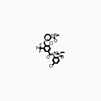 CCS(=O)(=O)c1ccc(Cl)cc1N(C)C(=O)c1cc(Cl)c(CN2CCC[C@H](C(=O)NC)C2)c(C(F)(F)F)c1